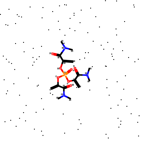 C=C(OP(=O)(OC(=C)C(=O)N(C)C)OC(=C)C(=O)N(C)C)C(=O)N(C)C